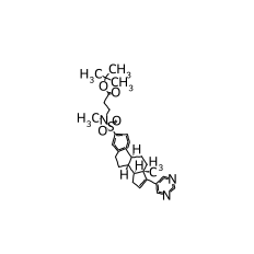 CN(CCC(=O)OC(C)(C)C)S(=O)(=O)c1ccc2c(c1)CC[C@@H]1[C@@H]2CC[C@]2(C)C(c3cncnc3)=CC[C@@H]12